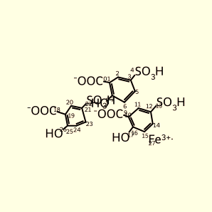 O=C([O-])c1cc(S(=O)(=O)O)ccc1O.O=C([O-])c1cc(S(=O)(=O)O)ccc1O.O=C([O-])c1cc(S(=O)(=O)O)ccc1O.[Fe+3]